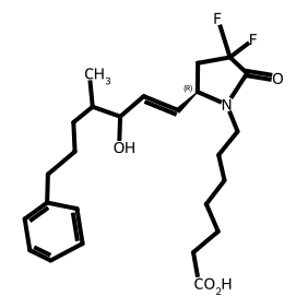 CC(CCCc1ccccc1)C(O)C=C[C@H]1CC(F)(F)C(=O)N1CCCCCCC(=O)O